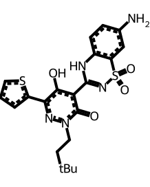 CC(C)(C)CCn1nc(-c2cccs2)c(O)c(C2=NS(=O)(=O)c3cc(N)ccc3N2)c1=O